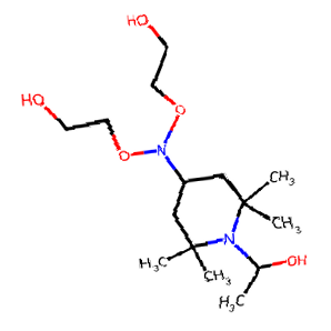 CC(O)N1C(C)(C)CC(N(OCCO)OCCO)CC1(C)C